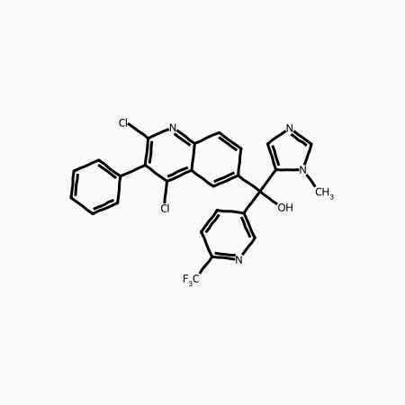 Cn1cncc1C(O)(c1ccc(C(F)(F)F)nc1)c1ccc2nc(Cl)c(-c3ccccc3)c(Cl)c2c1